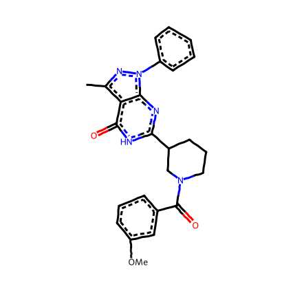 COc1cccc(C(=O)N2CCCC(c3nc4c(c(C)nn4-c4ccccc4)c(=O)[nH]3)C2)c1